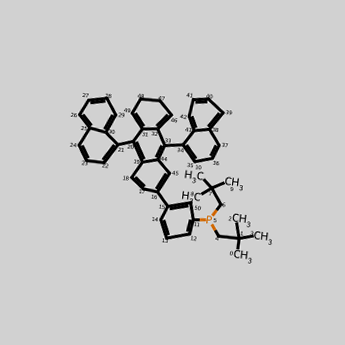 CC(C)(C)CP(CC(C)(C)C)c1cccc(-c2ccc3c(-c4cccc5ccccc45)c4c(c(-c5cccc6ccccc56)c3c2)=CCCC=4)c1